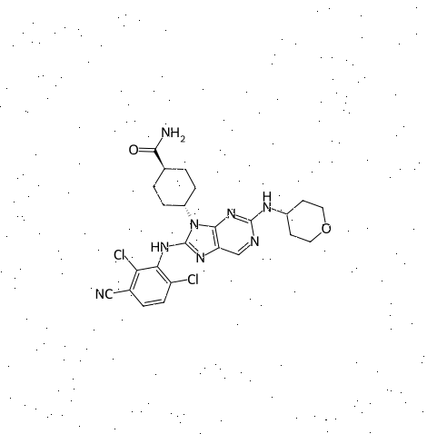 N#Cc1ccc(Cl)c(Nc2nc3cnc(NC4CCOCC4)nc3n2[C@H]2CC[C@H](C(N)=O)CC2)c1Cl